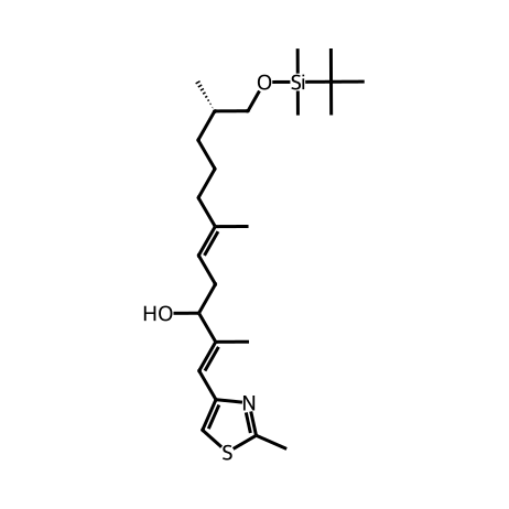 C/C(=C\CC(O)/C(C)=C/c1csc(C)n1)CCC[C@H](C)CO[Si](C)(C)C(C)(C)C